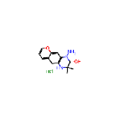 CC1(C)NC2=C(C=C3OC=CC=C3C2)N(N)[C@@H]1O.Cl